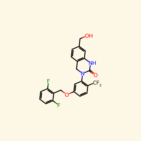 O=C1Nc2cc(CO)ccc2CN1c1cc(OCc2c(F)cccc2F)ccc1C(F)(F)F